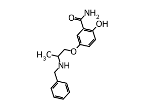 CC(COc1ccc(O)c(C(N)=O)c1)NCc1ccccc1